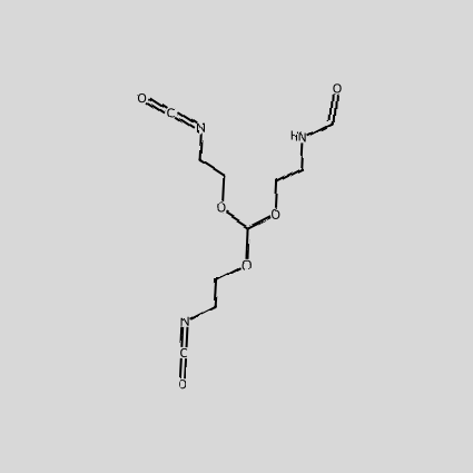 O=C=NCCOC(OCCN=C=O)OCCNC=O